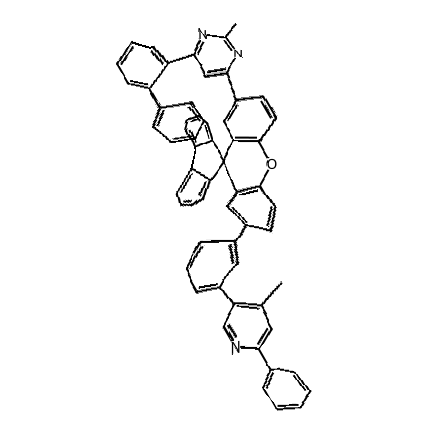 Cc1nc(-c2ccc3c(c2)C2(c4cc(-c5cccc(-c6cnc(-c7ccccc7)cc6C)c5)ccc4O3)c3ccccc3-c3ccccc32)cc(-c2ccccc2-c2ccccc2)n1